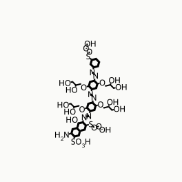 Nc1cc2c(O)c(N=Nc3cc(OCC(O)CO)c(N=Nc4cc(OCC(O)CO)c(N=Nc5cccc(SOOO)c5)cc4OCC(O)CO)cc3OCC(O)CO)c(SOOO)cc2cc1S(=O)(=O)O